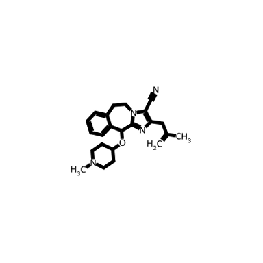 C=C(C)Cc1nc2n(c1C#N)CCc1ccccc1C2OC1CCN(C)CC1